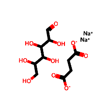 O=C([O-])CCC(=O)[O-].O=CC(O)C(O)C(O)C(O)CO.[Na+].[Na+]